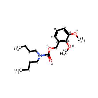 CCCCN(CCCC)C(=O)OCc1cccc(OC)c1OC